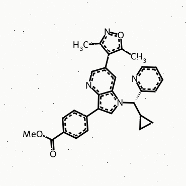 COC(=O)c1ccc(-c2cn([C@H](c3ccccn3)C3CC3)c3cc(-c4c(C)noc4C)cnc23)cc1